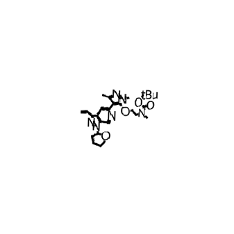 C=Cc1nn(C2CCCCO2)c2cnc(-c3c(C)nn(C)c3OCCN(C)C(=O)OC(C)(C)C)cc12